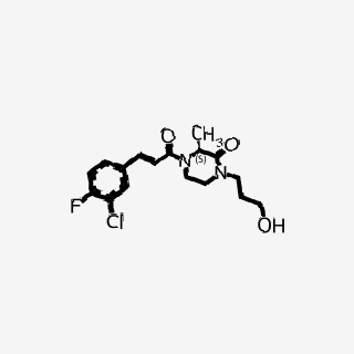 C[C@H]1C(=O)N(CCCO)CCN1C(=O)C=Cc1ccc(F)c(Cl)c1